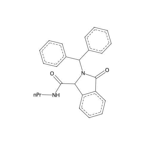 CCCNC(=O)C1c2ccccc2C(=O)N1C(c1ccccc1)c1ccccc1